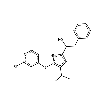 CC(C)c1nc(C(O)Cc2ccccn2)[nH]c1Sc1cccc(Cl)c1